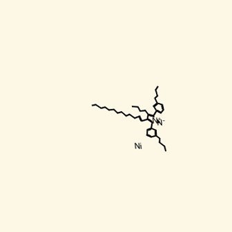 CCCCCCCCCCCC=CC1=C(c2cccc(CCCC)c2)[N+](=[N-])C(c2cccc(CCCC)c2)=C1CCCC.[Ni]